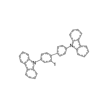 Ic1cc(-n2c3ccccc3c3ccccc32)ccc1-c1ccc(-n2c3ccccc3c3ccccc32)cc1